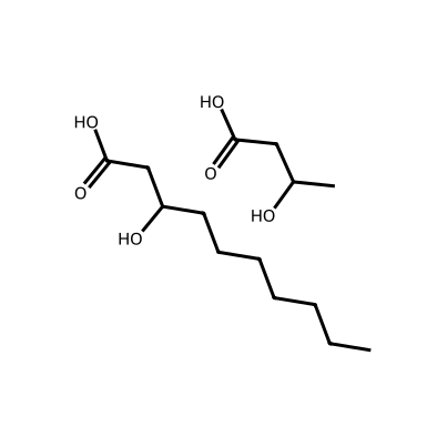 CC(O)CC(=O)O.CCCCCCCC(O)CC(=O)O